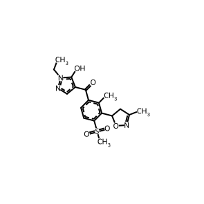 CCn1ncc(C(=O)c2ccc(S(C)(=O)=O)c(C3CC(C)=NO3)c2C)c1O